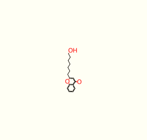 O=c1cc(CCCCCCCO)oc2ccccc12